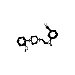 COc1ccccc1N1CCN(CCN(C)c2cccc(C#N)c2)CC1